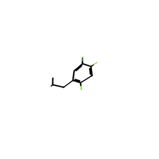 CC(C)Cc1cc(Cl)c(F)cc1F